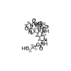 Cc1c(-c2cc3cc(NC(=O)OC4CC(CO)C4)ncc3c(NC(=O)OC(C)(C)C)c2F)cnc2c1N(C(=O)OC(C)(C)C)CCO2